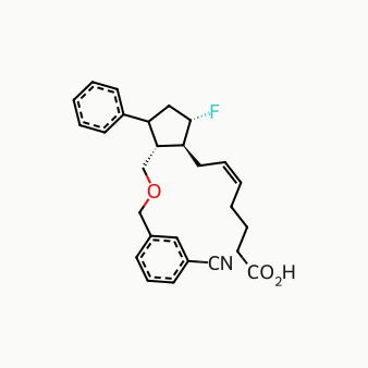 N#Cc1cccc(COC[C@@H]2C(c3ccccc3)C[C@H](F)[C@H]2C/C=C\CCCC(=O)O)c1